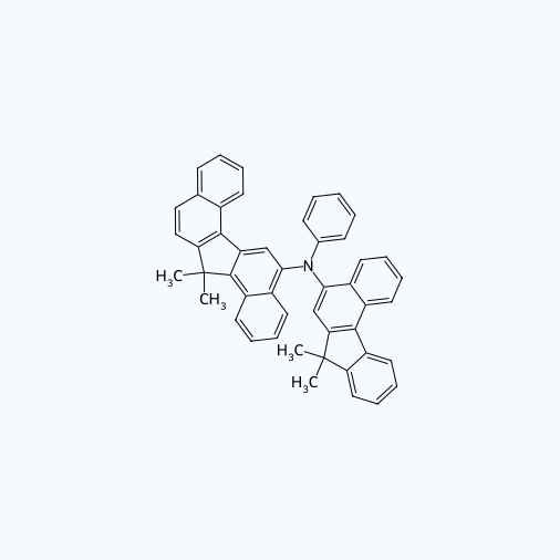 CC1(C)c2ccccc2-c2c1cc(N(c1ccccc1)c1cc3c(c4ccccc14)C(C)(C)c1ccc4ccccc4c1-3)c1ccccc21